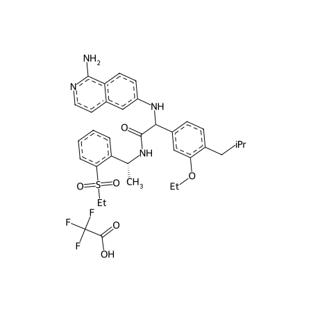 CCOc1cc(C(Nc2ccc3c(N)nccc3c2)C(=O)N[C@H](C)c2ccccc2S(=O)(=O)CC)ccc1CC(C)C.O=C(O)C(F)(F)F